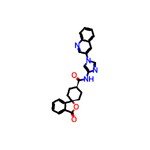 O=C1O[C@]2(CC[C@H](C(=O)Nc3cn(-c4cnc5ccccc5c4)cn3)CC2)c2ccccc21